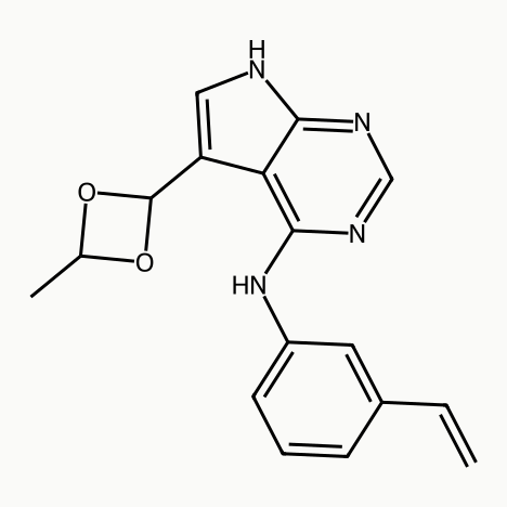 C=Cc1cccc(Nc2ncnc3[nH]cc(C4OC(C)O4)c23)c1